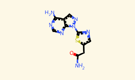 NC(=O)Cc1cnc(-n2ncc3c(N)ncnc32)s1